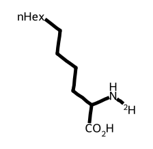 [2H]NC(CCCCCCCCCC)C(=O)O